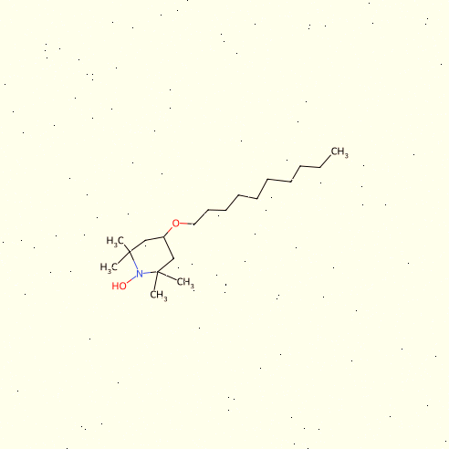 CCCCCCCCCCOC1CC(C)(C)N(O)C(C)(C)C1